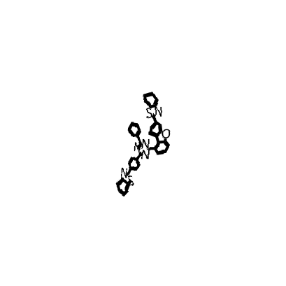 c1ccc(-c2nc(-c3ccc(-c4nc5ccccc5s4)cc3)nc(-c3cccc4oc5cc(-c6nc7ccccc7s6)ccc5c34)n2)cc1